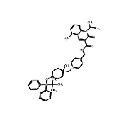 Cc1cccc2c1cc(C(=O)NCC1CCN(CC3(O)CCC(O[Si](c4ccccc4)(c4ccccc4)C(C)(C)C)CC3)CC1)c(=O)n2C(C)C